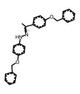 C/C(=N\Nc1ccc(OCc2ccccc2)cc1)c1ccc(OCc2ccccc2)cc1